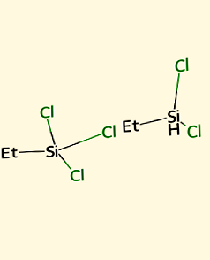 CC[SiH](Cl)Cl.CC[Si](Cl)(Cl)Cl